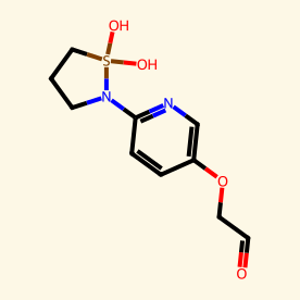 O=CCOc1ccc(N2CCCS2(O)O)nc1